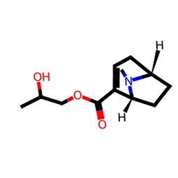 CC(O)COC(=O)C1=CC[C@@H]2CC[C@H]1N2C